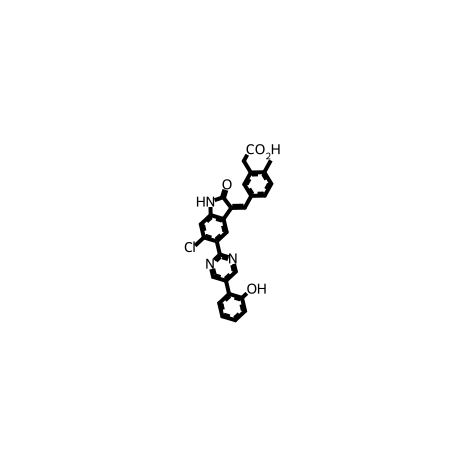 Cc1ccc(C=C2C(=O)Nc3cc(Cl)c(-c4ncc(-c5ccccc5O)cn4)cc32)cc1CC(=O)O